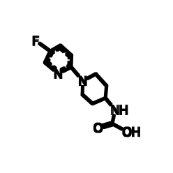 O=C(O)NC1CCN(c2ccc(F)cn2)CC1